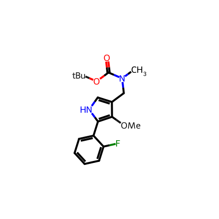 COc1c(CN(C)C(=O)OC(C)(C)C)c[nH]c1-c1ccccc1F